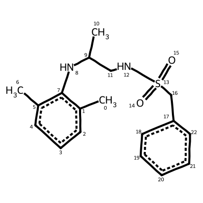 Cc1cccc(C)c1NC(C)CNS(=O)(=O)Cc1ccccc1